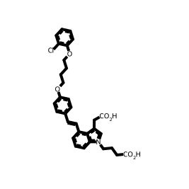 O=C(O)CCCn1cc(CC(=O)O)c2c(C=Cc3ccc(OCCCCOc4ccccc4Cl)cc3)cccc21